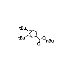 CCCCOC(=O)C1CC2CC1C(C(C)(C)C)C2C(C)(C)C